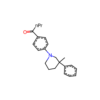 CCCC(=O)c1ccc(N2CCCC(C)(c3ccccc3)C2)cc1